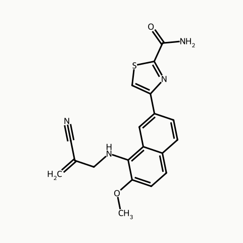 C=C(C#N)CNc1c(OC)ccc2ccc(-c3csc(C(N)=O)n3)cc12